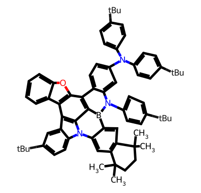 CC(C)(C)c1ccc(N2B3c4cc5c(cc4-n4c6ccc(C(C)(C)C)cc6c6c7c(oc8ccccc87)c(c3c64)-c3ccc(N(c4ccc(C(C)(C)C)cc4)c4ccc(C(C)(C)C)cc4)cc32)C(C)(C)CCC5(C)C)cc1